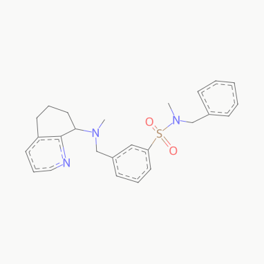 CN(Cc1cccc(S(=O)(=O)N(C)Cc2ccccc2)c1)C1CCCc2cccnc21